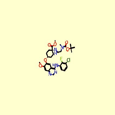 COc1cc2ncnc(Nc3cccc(Cl)c3F)c2cc1O[C@H]1CC[C@](NCCN(C)C(=O)OC(C)(C)C)(C(=O)OC)CC1